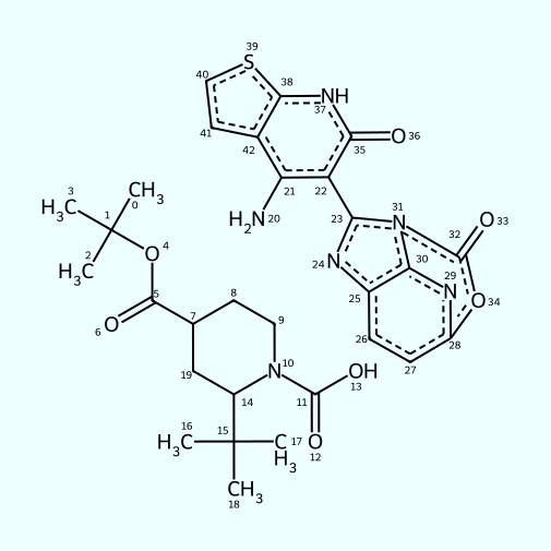 CC(C)(C)OC(=O)C1CCN(C(=O)O)C(C(C)(C)C)C1.Nc1c(-c2nc3ccc4nc3n2c(=O)o4)c(=O)[nH]c2sccc12